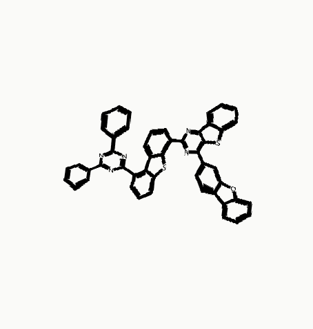 c1ccc(-c2nc(-c3ccccc3)nc(-c3cccc4sc5c(-c6nc(-c7ccc8c(c7)oc7ccccc78)c7sc8ccccc8c7n6)cccc5c34)n2)cc1